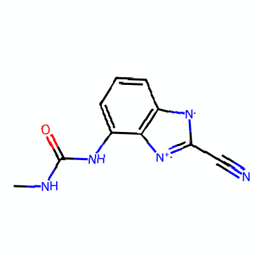 CNC(=O)Nc1cccc2c1[N+]=C(C#N)[N]2